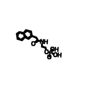 O=C(Cc1ccc2ccccc2c1)NCCOP(=O)(O)O